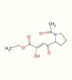 CCOC(=O)/C(O)=C/C(=O)C1CCCN1C(C)=O